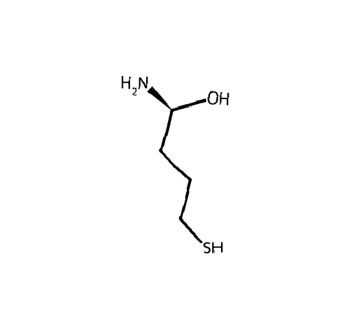 N[C@@H](O)CCCS